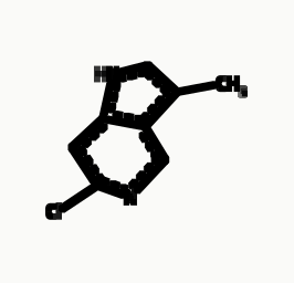 Cc1c[nH]c2cc(Cl)ncc12